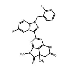 CN1C(=O)C2(C)CC(=O)Nc3nc(-c4nn(Cc5ccccc5F)c5ncc(F)cc45)nc1c32